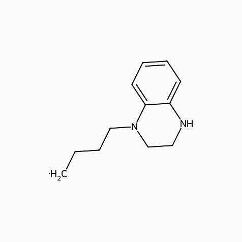 [CH2]CCCN1CCNc2ccccc21